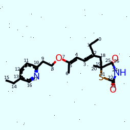 CC/C(=C\C=C(/C)OCCc1ccc(CC)cn1)CC1(C)SC(=O)NC1=O